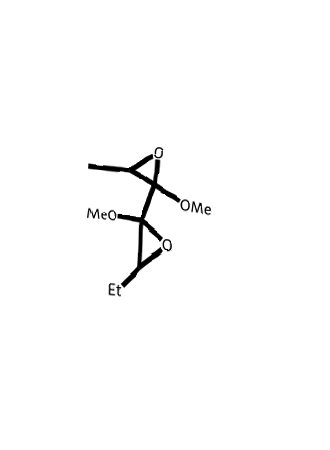 CCC1OC1(OC)C1(OC)OC1C